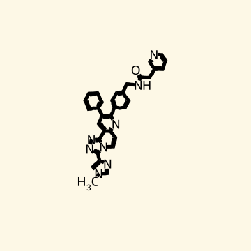 Cn1cnc(-c2nnc3c4cc(-c5ccccc5)c(-c5ccc(CNC(=O)Cc6cccnc6)cc5)nc4ccn23)c1